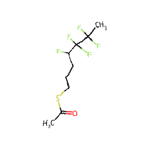 CC(=O)SCCCC(F)C(F)(F)C(C)(F)F